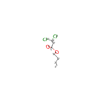 CCCCOC(=O)C=C(Cl)Cl